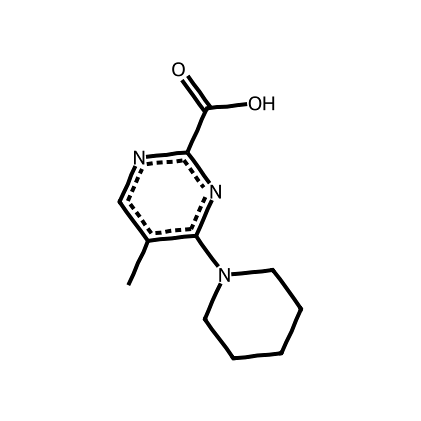 Cc1cnc(C(=O)O)nc1N1CCCCC1